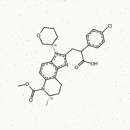 COC(=O)N1c2ccc3c(nc(CC(C(=O)O)c4ccc(Cl)cc4)n3[C@H]3CCCOC3)c2CC[C@@H]1C